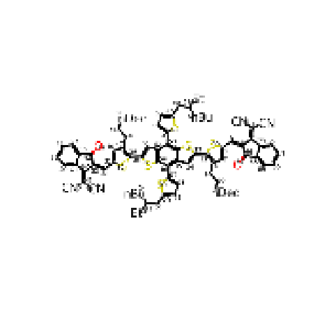 [C-]#[N+]/C(C#N)=C1\C(=Cc2cc(CCCCCCCCCCCC)c(-c3cc4c(-c5ccc(CC(CC)CCCC)s5)c5sc(-c6sc(C=C7C(=O)c8ccccc8/C7=C(/C#N)[N+]#[C-])cc6CCCCCCCCCCCC)cc5c(-c5ccc(CC(CC)CCCC)s5)c4s3)s2)C(=O)c2ccccc21